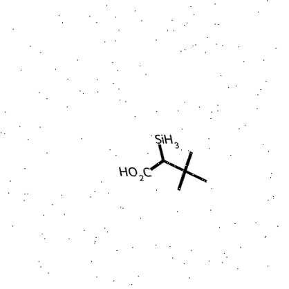 CC(C)(C)C([SiH3])C(=O)O